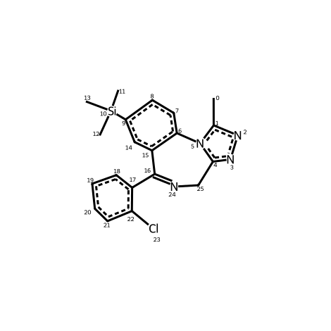 Cc1nnc2n1-c1ccc([Si](C)(C)C)cc1C(c1ccccc1Cl)=NC2